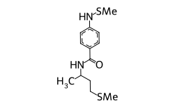 CSCCC(C)NC(=O)c1ccc(NSC)cc1